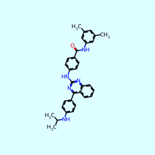 Cc1cc(C)cc(NC(=O)c2ccc(Nc3nc(-c4ccc(NC(C)C)cc4)c4ccccc4n3)cc2)c1